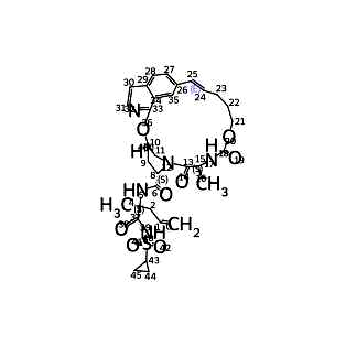 C=CC[C@](C)(NC(=O)[C@@H]1C[C@@H]2CN1C(=O)[C@H](C)NC(=O)OCCC/C=C/c1ccc3ccnc(c3c1)O2)C(=O)NS(=O)(=O)C1CC1